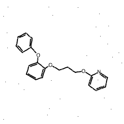 c1ccc(Oc2ccccc2OCCCOc2ccccn2)cc1